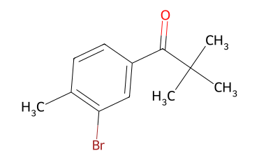 Cc1ccc(C(=O)C(C)(C)C)cc1Br